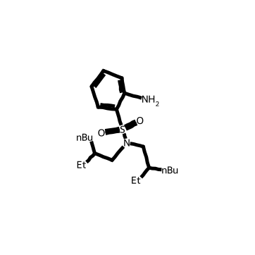 CCCCC(CC)CN(CC(CC)CCCC)S(=O)(=O)c1ccccc1N